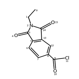 CCN1C(=O)c2ccc(C(=O)Cl)cc2C1=O